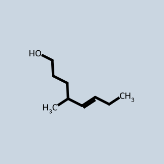 CCC=CC(C)CCCO